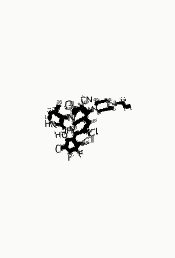 C=CC(=O)N1CCN(c2c(C#N)c(=O)n(C3=C(C)C=CNC3C(C)C)c3nc(-c4c(O)c(Cl)c(F)c(F)c4Cl)c(Cl)cc23)CC1